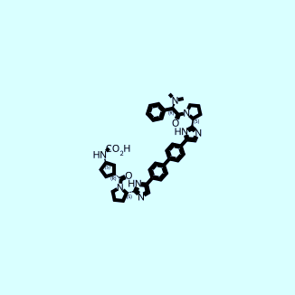 CN(C)[C@@H](C(=O)N1CCC[C@H]1c1ncc(-c2ccc(-c3ccc(-c4cnc([C@@H]5CCCN5C(=O)[C@@H]5CC[C@H](NC(=O)O)C5)[nH]4)cc3)cc2)[nH]1)c1ccccc1